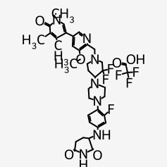 COc1cc(-c2cn(C)c(=O)c(C)c2C)cnc1CN1CCC(N2CCN(c3ccc(NC4CCC(=O)NC4=O)cc3F)CC2)C(F)(F)C1.O=C(O)C(F)(F)F